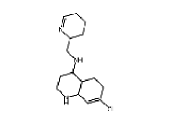 ClC1=CC2NCCC(NCC3CCCC=N3)C2CC1